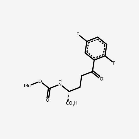 CC(C)(C)OC(=O)N[C@H](CCC(=O)c1cc(F)ccc1F)C(=O)O